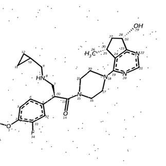 COc1ccc([C@@H](CNCC2CC2)C(=O)N2CCN(c3ncnc4c3[C@H](C)C[C@@H]4O)CC2)cc1F